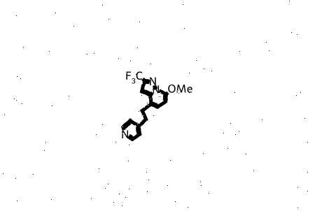 COc1ccc(CCc2ccncc2)c2cc(C(F)(F)F)nn12